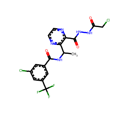 CC(NC(=O)c1cc(Cl)cc(C(F)(F)F)c1)c1nccnc1C(=O)NNC(=O)CCl